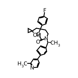 Cc1cc(-c2ccc([C@H](C)N3CCC(CC4(O)CC4)(c4ccc(F)cc4)OC3=O)cc2)ccn1